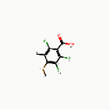 CSc1c(C)c(Cl)c(C(=O)O)c(Cl)c1Cl